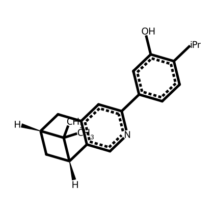 CC(C)c1ccc(-c2cc3c(cn2)[C@@H]2C[C@H](C3)C2(C)C)cc1O